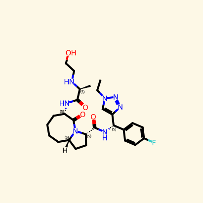 CCn1cc([C@@H](NC(=O)[C@@H]2CC[C@@H]3CCCC[C@H](NC(=O)[C@H](C)NCCO)C(=O)N32)c2ccc(F)cc2)nn1